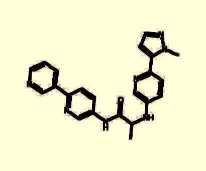 CC(Nc1ccc(-c2ccnn2C)nc1)C(=O)Nc1ccc(-c2cccnc2)nc1